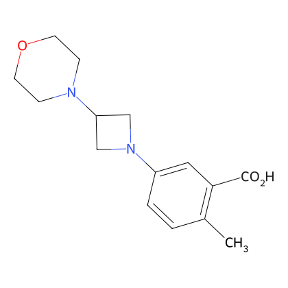 Cc1ccc(N2CC(N3CCOCC3)C2)cc1C(=O)O